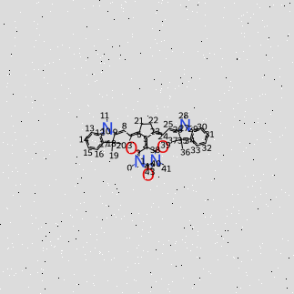 CN1C(=O)C(=C2/C(=C/C=C3/N(C)c4ccccc4C3(C)C)CC/C2=C\C=C2\N(C)c3ccccc3C2(C)C)C(=O)N(C)C1=O